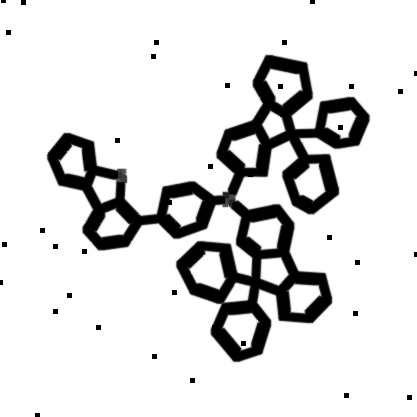 c1ccc(C2(c3ccccc3)c3ccccc3-c3ccc(N(c4ccc(-c5cccc6c5sc5ccccc56)cc4)c4ccc5c(c4)C(c4ccccc4)(c4ccccc4)c4ccccc4-5)cc32)cc1